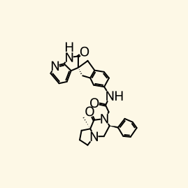 C[C@@]12CCCN1C[C@H](c1ccccc1)N(CC(=O)Nc1ccc3c(c1)C[C@@]1(C3)C(=O)Nc3ncccc31)C2=O